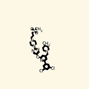 [CH2]C1CCN(Cc2cc(Oc3cnc(N4CCN(CCCS(C)(=O)=O)CC4)nc3)nc(-c3cc(Cl)cc(Cl)c3)c2)CC1